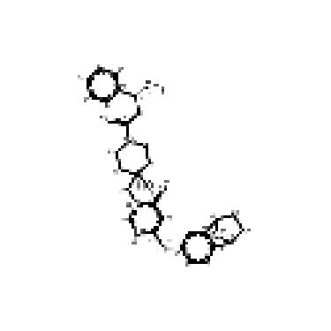 C[C@H](CC(=O)N1CCC(O)(Cn2cnc(Nc3ccc4c(c3)C3CCC4N3)cc2=O)CC1)c1ccccc1